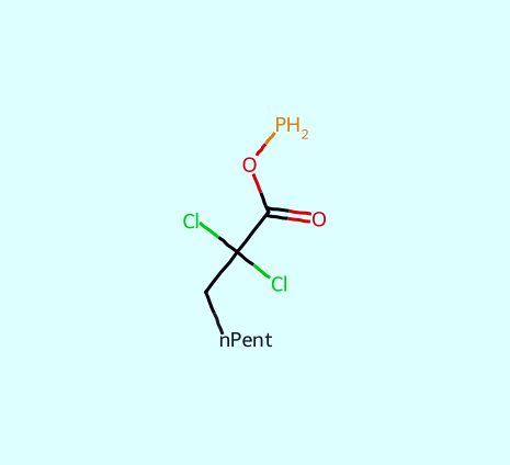 CCCCCCC(Cl)(Cl)C(=O)OP